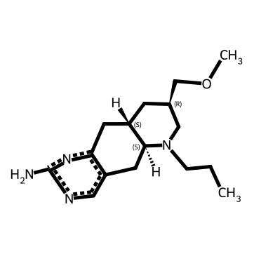 CCCN1C[C@H](COC)C[C@H]2Cc3nc(N)ncc3C[C@@H]21